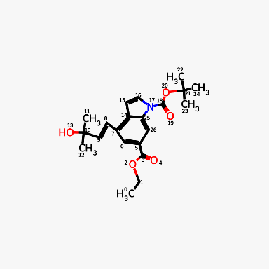 CCOC(=O)c1cc(C=CC(C)(C)O)c2ccn(C(=O)OC(C)(C)C)c2c1